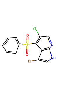 O=S(=O)(c1ccccc1)c1c(Cl)cnc2[nH]cc(Br)c12